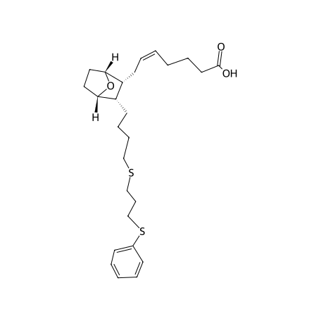 O=C(O)CCC/C=C\C[C@@H]1[C@H](CCCCSCCCSc2ccccc2)[C@@H]2CC[C@H]1O2